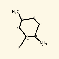 CC1CCC(C)N(F)C1